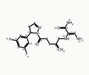 C=C(CCC(=O)N1N=CCC1c1cc(F)cc(F)c1)CN/C(=C\N)C(N)=O